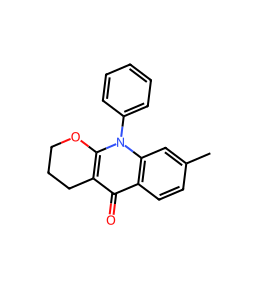 Cc1ccc2c(=O)c3c(n(-c4ccccc4)c2c1)OCCC3